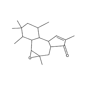 CC1=CC2C(CC3(C)OC3C3C2C(C)CC(C)(C)C3C)C1=O